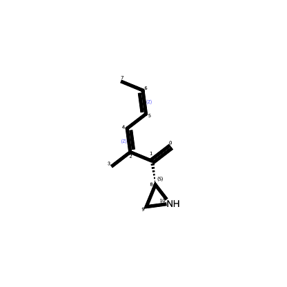 C=C(/C(C)=C\C=C/C)[C@H]1CN1